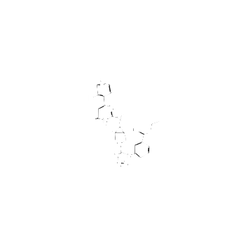 CCOC(=O)c1cccc(-n2nnnc2N2C[C@@H]3[C@H](C2)[C@@H]3N(C)c2nc(-c3ccncc3F)cc(=O)n2C)c1